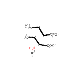 CC(=O)CCC(=O)[O-].CC(=O)CCC(=O)[O-].O.[K+].[K+]